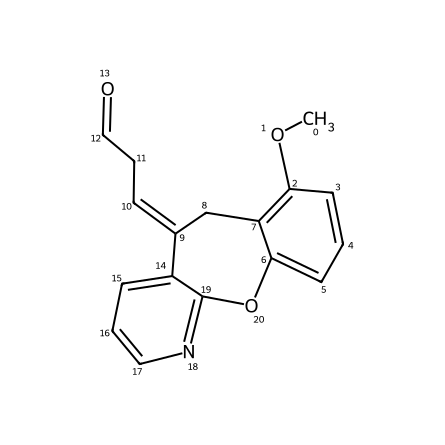 COc1cccc2c1CC(=CCC=O)c1cccnc1O2